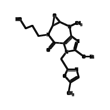 CCOc1nc2c(n1Cc1ncc(C)o1)C(=O)N(CCCO)C1OC1N2C